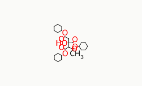 CC(=O)C(C(=O)OC1CCCCC1)C(O)(CC(=O)OC1CCCCC1)C(=O)OC1CCCCC1